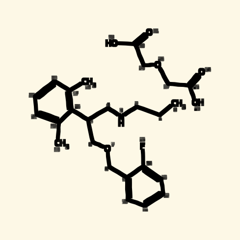 CCCNCC(COCc1ccccc1F)c1c(C)cccc1C.O=C(O)COCC(=O)O